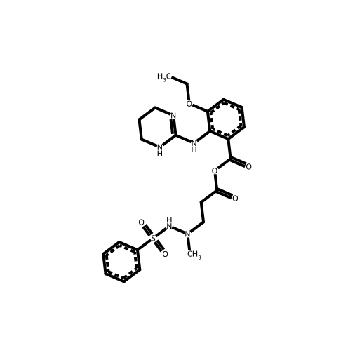 CCOc1cccc(C(=O)OC(=O)CCN(C)NS(=O)(=O)c2ccccc2)c1NC1=NCCCN1